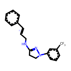 FC(F)(F)c1cccc(N2CCC(NC/C=C/c3ccccc3)=N2)c1